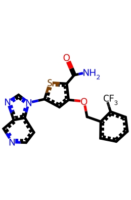 NC(=O)c1sc(-n2cnc3cnccc32)cc1OCc1ccccc1C(F)(F)F